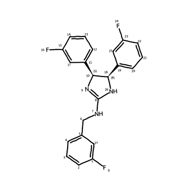 Fc1cccc(CNC2=N[C@@H](c3cccc(F)c3)[C@@H](c3cccc(F)c3)N2)c1